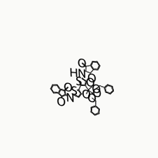 O=C1c2ccccc2C(=O)C1Nc1cc2c(s1)-c1sc(N=c3c(=O)c4ccccc4c3=O)cc1OC2(C(=O)OCc1ccccc1)C(=O)OCc1ccccc1